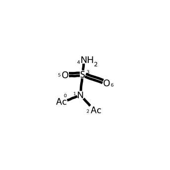 CC(=O)N(C(C)=O)S(N)(=O)=O